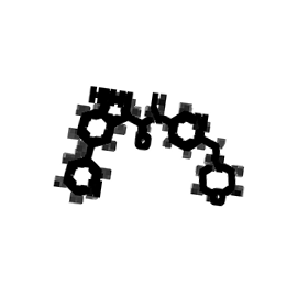 O=C(Nc1ccc(CN2CCOCC2)nc1)c1n[nH]c2ccc(-c3cccnc3)cc12